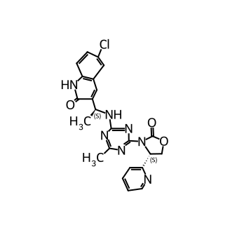 Cc1nc(N[C@@H](C)c2cc3cc(Cl)ccc3[nH]c2=O)nc(N2C(=O)OC[C@@H]2c2ccccn2)n1